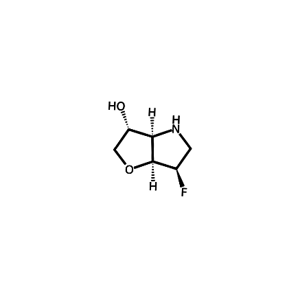 O[C@H]1CO[C@H]2[C@@H]1NC[C@H]2F